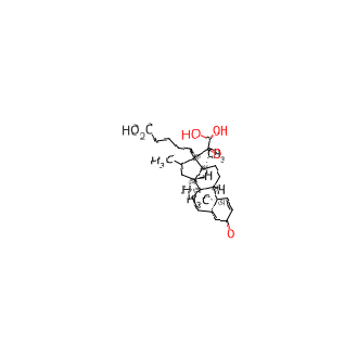 CC1C[C@H]2[C@@H]3CCC4=CC(=O)C=C[C@]4(C)[C@H]3CC[C@]2(C)[C@@]1(CCCCC(=O)O)C(=O)C(O)O